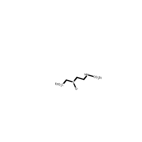 CCOC(=O)C[S+]([O-])CCNC(=O)OCC